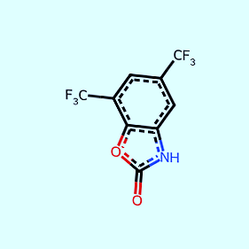 O=c1[nH]c2cc(C(F)(F)F)cc(C(F)(F)F)c2o1